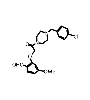 COc1ccc(C=O)c(OCC(=O)N2CCN(Cc3ccc(Cl)cc3)CC2)c1